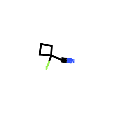 N#CC1(F)CCC1